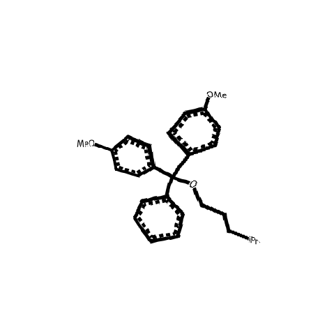 COc1ccc(C(OCCC[C](C)C)(c2ccccc2)c2ccc(OC)cc2)cc1